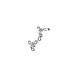 c1ccc(-c2nc(-c3ccccc3)nc(-c3ccc4c(c3)oc3ccc(-c5ccc(-c6nc(-c7ccccc7)c7sc8ccccc8c7n6)cc5)cc34)n2)cc1